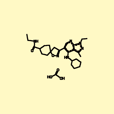 CCNC(=O)C1CCC2(CC1)CC(c1cnc3c(c(C)nn3CC)c1NC1CCCCC1)=NO2.O=C(O)O